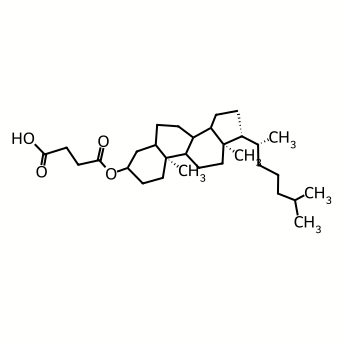 CC(C)CCC[C@@H](C)[C@H]1CCC2C3CCC4CC(OC(=O)CCC(=O)O)CC[C@]4(C)C3CC[C@@]21C